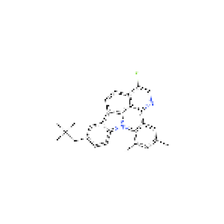 Cc1cc(C)c2c(c1)c1ncc(F)c3ccc4c5cc(CC(C)(C)C)ccc5n2c4c31